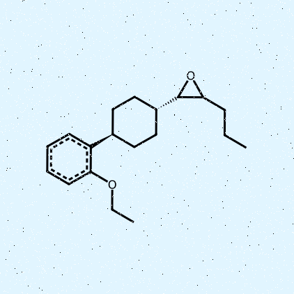 CCCC1OC1[C@H]1CC[C@H](c2ccccc2OCC)CC1